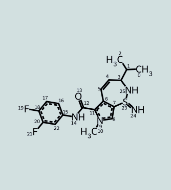 CC(C)C1C=Cc2c(cn(C)c2C(=O)Nc2ccc(F)c(F)c2)S(=N)N1